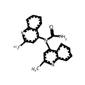 Cc1cc(N(C(N)=O)c2cc(C)nc3ccccc23)c2ccccc2n1